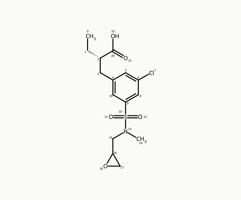 CC[C@@H](Cc1cc(Cl)cc(S(=O)(=O)N(C)CC2CO2)c1)C(=O)O